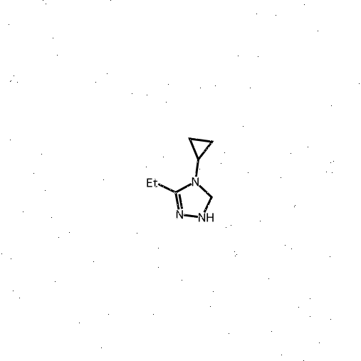 CCC1=NNCN1C1CC1